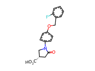 O=C(O)[C@H]1CC(=O)N(c2ccc(OCc3ccccc3F)cc2)C1